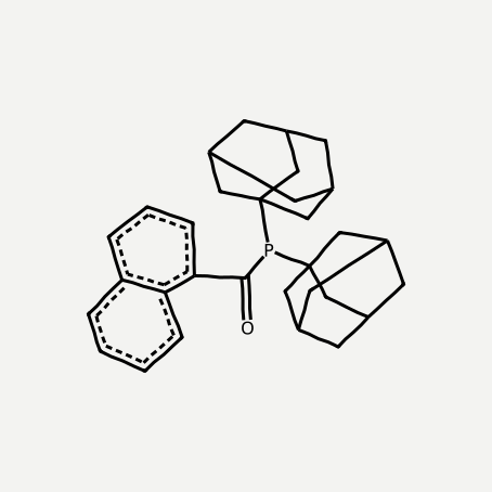 O=C(c1cccc2ccccc12)P(C12CC3CC(CC(C3)C1)C2)C12CC3CC(CC(C3)C1)C2